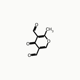 Cc1occ(C=O)c(=O)c1C=O